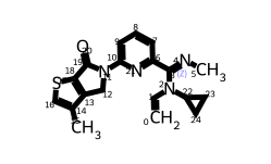 C=CN(/C(=N\C)c1cccc(N2Cc3c(C)csc3C2=O)n1)C1CC1